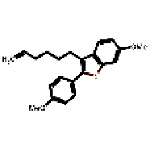 C=CCCCCc1c(-c2ccc(OC)cc2)sc2cc(OC)ccc12